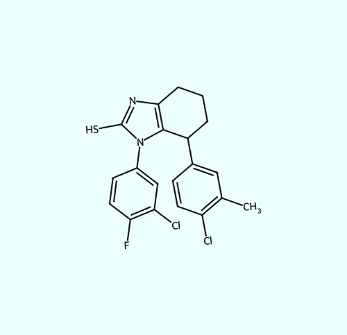 Cc1cc(C2CCCc3nc(S)n(-c4ccc(F)c(Cl)c4)c32)ccc1Cl